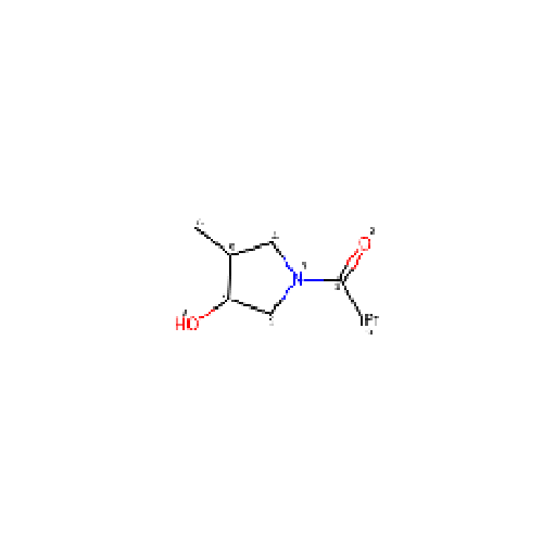 CC(C)C(=O)N1CC(C)C(O)C1